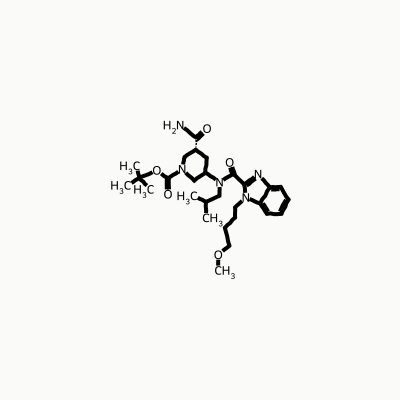 COCCCCn1c(C(=O)N(CC(C)C)C2C[C@@H](C(N)=O)CN(C(=O)OC(C)(C)C)C2)nc2ccccc21